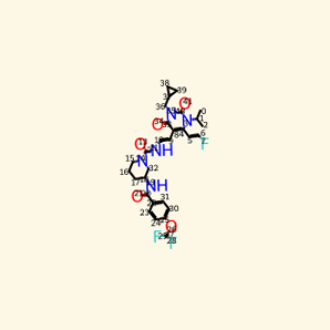 CC(C)n1c(/C=C/F)c(/C=C/NC(=O)N2CCCC(NC(=O)c3ccc(OC(F)F)cc3)C2)c(=O)n(CC2CC2)c1=O